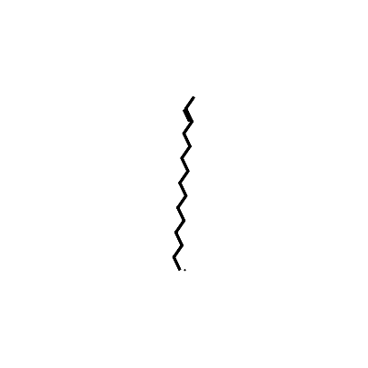 [CH2]CCCCCCCCCCCC=CC